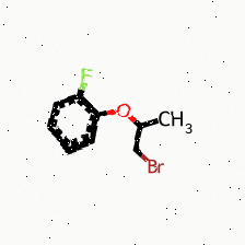 CC(CBr)Oc1ccccc1F